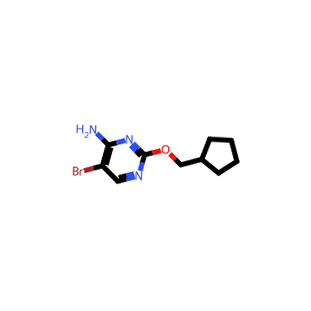 Nc1nc(OCC2CCCC2)ncc1Br